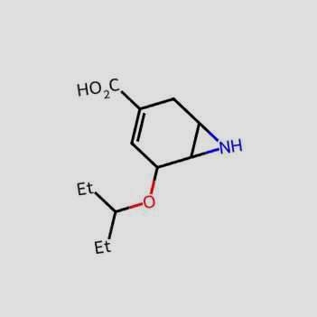 CCC(CC)OC1C=C(C(=O)O)CC2NC21